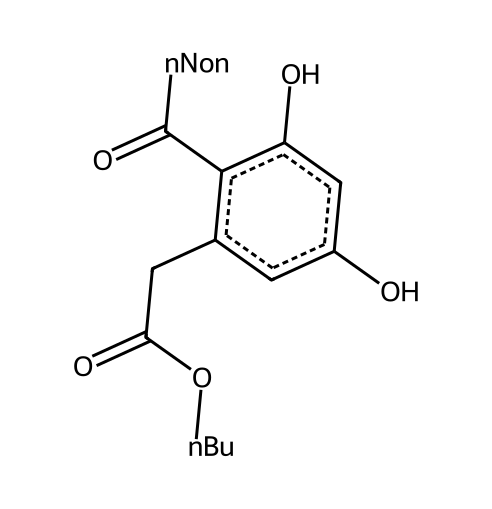 CCCCCCCCCC(=O)c1c(O)cc(O)cc1CC(=O)OCCCC